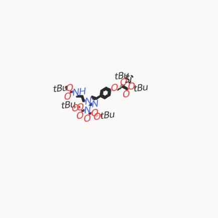 CC(C)(C)OOC(=O)N(C(=O)OOC(C)(C)C)c1nc(-c2ccc(OC[C@@H](O[Si](C)(C)C(C)(C)C)C(=O)OC(C)(C)C)cc2)cn1CCCNC(=O)OC(C)(C)C